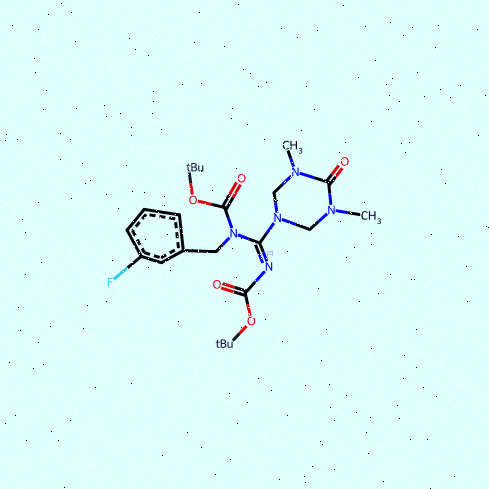 CN1CN(/C(=N/C(=O)OC(C)(C)C)N(Cc2cccc(F)c2)C(=O)OC(C)(C)C)CN(C)C1=O